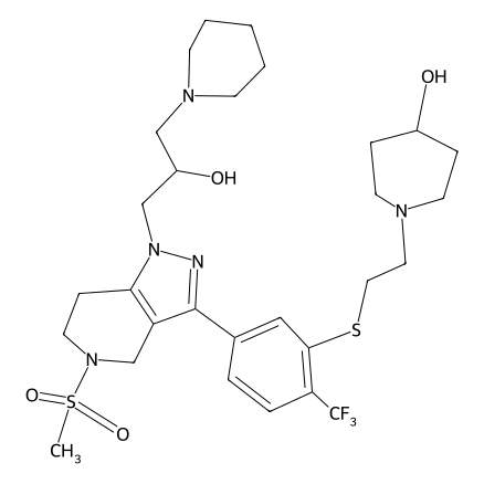 CS(=O)(=O)N1CCc2c(c(-c3ccc(C(F)(F)F)c(SCCN4CCC(O)CC4)c3)nn2CC(O)CN2CCCCC2)C1